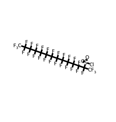 O=S(=O)(Cl)C(F)(C(F)(F)F)C(F)(F)C(F)(F)C(F)(F)C(F)(F)C(F)(F)C(F)(F)C(F)(F)C(F)(F)C(F)(F)C(F)(F)C(F)(F)C(F)(F)F